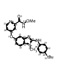 CONC(=O)c1cc(Oc2ccc3c(c2)nc(Nc2ccc(C(C)(C)C)cc2)n3C)ccn1